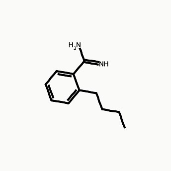 CCCCc1ccccc1C(=N)N